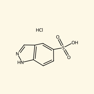 Cl.O=S(=O)(O)c1ccc2[nH]ncc2c1